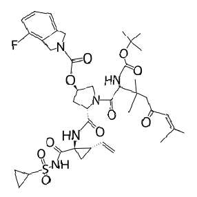 C=C[C@@H]1C[C@]1(NC(=O)[C@@H]1C[C@@H](OC(=O)N2Cc3cccc(F)c3C2)CN1C(=O)[C@@H](NC(=O)OC(C)(C)C)C(C)(C)CC(=O)C=C(C)C)C(=O)NS(=O)(=O)C1CC1